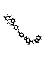 COc1cc2nn(C3CCC(CCN4CCN(c5cn(C)c6c(N7CCC(=O)NC7=O)cccc56)CC4)CC3)cc2cc1C(=O)Nc1cnc2cccnn12